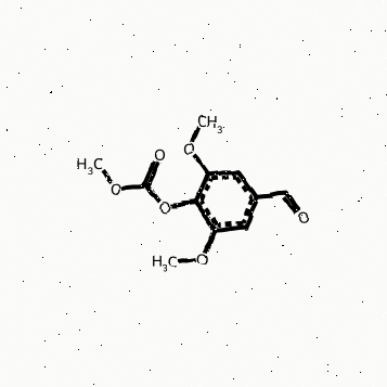 COC(=O)Oc1c(OC)cc(C=O)cc1OC